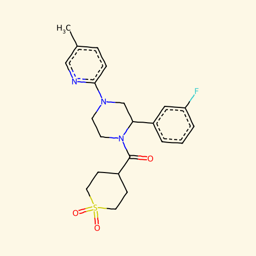 Cc1ccc(N2CCN(C(=O)C3CCS(=O)(=O)CC3)C(c3cccc(F)c3)C2)nc1